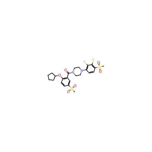 CS(=O)(=O)c1ccc(OC2CCCC2)c(C(=O)N2CCN(c3ccc(S(C)(=O)=O)c(F)c3F)CC2)c1